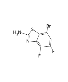 Nc1nc2c(F)c(F)cc(Br)c2s1